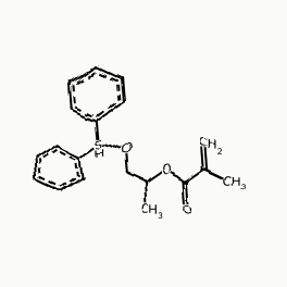 C=C(C)C(=O)OC(C)CO[SH](c1ccccc1)c1ccccc1